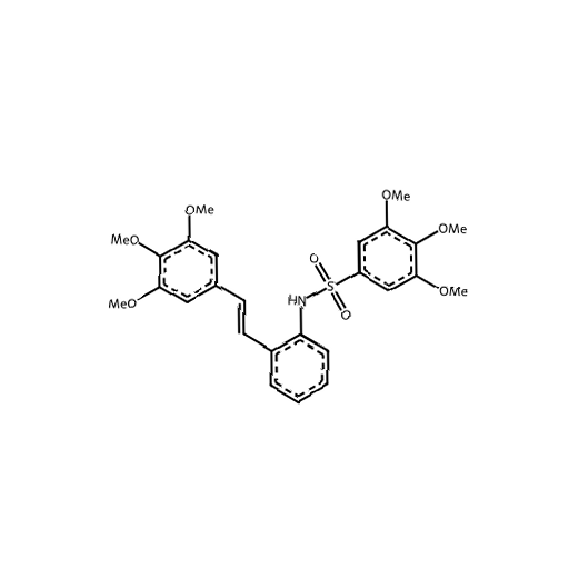 COc1cc(C=Cc2ccccc2NS(=O)(=O)c2cc(OC)c(OC)c(OC)c2)cc(OC)c1OC